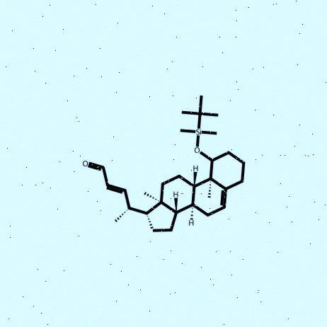 C[C@H](/C=C/C=O)[C@H]1CC[C@H]2[C@@H]3CC=C4CCCC(O[Si](C)(C)C(C)(C)C)[C@]4(C)[C@H]3CC[C@]12C